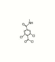 CNC(=O)c1cc(Cl)c(C(=O)Cl)c(Cl)c1